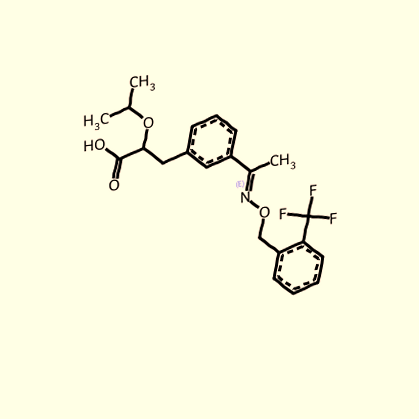 C/C(=N\OCc1ccccc1C(F)(F)F)c1cccc(CC(OC(C)C)C(=O)O)c1